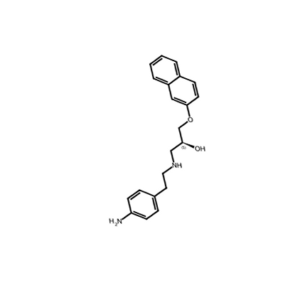 Nc1ccc(CCNC[C@H](O)COc2ccc3ccccc3c2)cc1